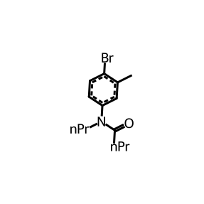 CCCC(=O)N(CCC)c1ccc(Br)c(C)c1